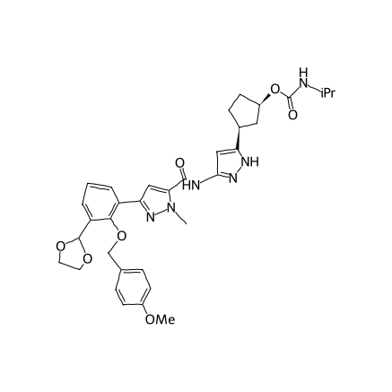 COc1ccc(COc2c(-c3cc(C(=O)Nc4cc([C@H]5CC[C@@H](OC(=O)NC(C)C)C5)[nH]n4)n(C)n3)cccc2C2OCCO2)cc1